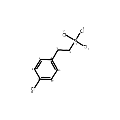 Clc1ccc(CC[Si](Cl)(Cl)Cl)cc1